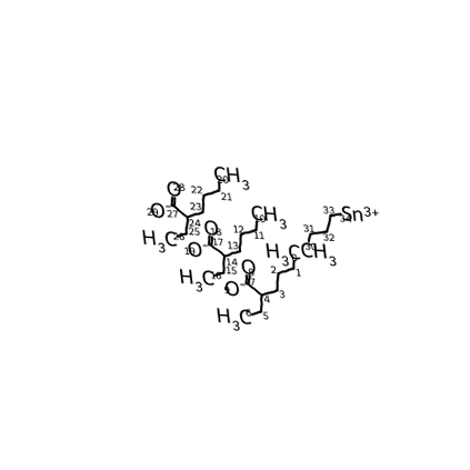 CCCCC(CC)C(=O)[O-].CCCCC(CC)C(=O)[O-].CCCCC(CC)C(=O)[O-].CCC[CH2][Sn+3]